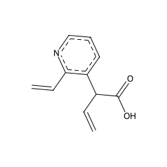 C=Cc1ncccc1C(C=C)C(=O)O